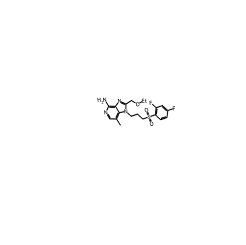 CCOCc1nc2c(N)ncc(C)c2n1CCCS(=O)(=O)c1ccc(F)cc1F